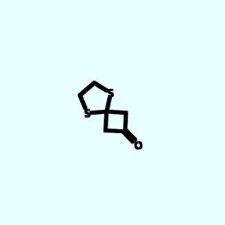 O=C1CC2(C1)SCCS2